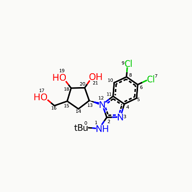 CC(C)(C)Nc1nc2cc(Cl)c(Cl)cc2n1[C@H]1CC(CO)C(O)C1O